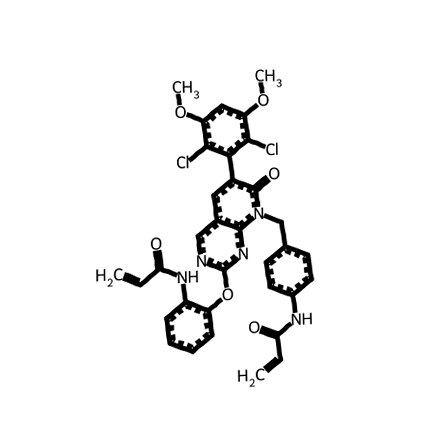 C=CC(=O)Nc1ccc(Cn2c(=O)c(-c3c(Cl)c(OC)cc(OC)c3Cl)cc3cnc(Oc4ccccc4NC(=O)C=C)nc32)cc1